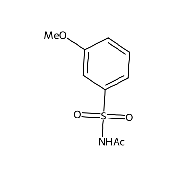 COc1cccc(S(=O)(=O)NC(C)=O)c1